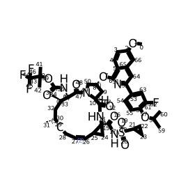 COc1ccc2c(O[C@@H]3C[C@H]4C(=O)N[C@]5(C(=O)NS(=O)(=O)C6CC6)CC5/C=C\CC[C@H](C)C[C@@H](C)[C@H](NC(=O)OC(C)(C)C(F)(F)F)C(=O)N4C3)nc(-c3ccc(OC(C)C)c(F)c3)cc2c1